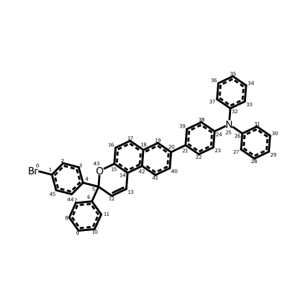 Brc1ccc(C2(c3ccccc3)C=Cc3c(ccc4cc(-c5ccc(N(c6ccccc6)c6ccccc6)cc5)ccc34)O2)cc1